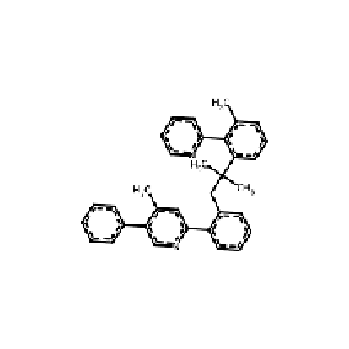 Cc1cc(-c2ccccc2CC(C)(C)c2cccc(C)c2-c2ccccn2)ncc1-c1ccccc1